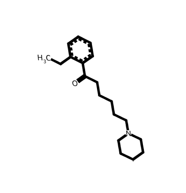 CCc1ccccc1C(=O)CCCCCN1CC[CH]CC1